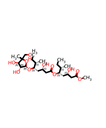 CC[C@H](C)[C@H](C[C@H](O)CC(=O)OC)OC(=O)C[C@@H](O)C[C@H](O[C@@H]1OC(C)(CO)[C@H](O)[C@H]1O)[C@@H](C)CC